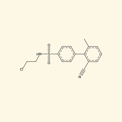 Cc1cccc(C#N)c1-c1ccc(S(=O)(=O)NCCCl)cc1